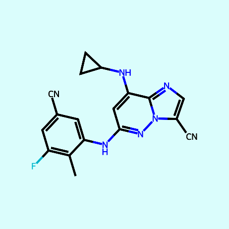 Cc1c(F)cc(C#N)cc1Nc1cc(NC2CC2)c2ncc(C#N)n2n1